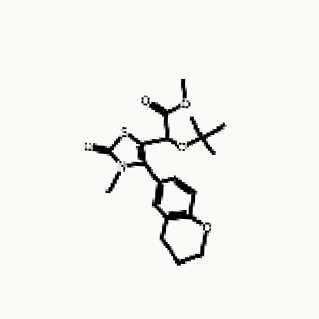 COC(=O)C(OC(C)(C)C)c1sc(=O)n(C)c1-c1ccc2c(c1)CCCO2